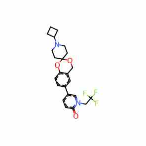 O=c1ccc(-c2ccc3c(c2)COC2(CCN(C4CCC4)CC2)O3)cn1CC(F)(F)F